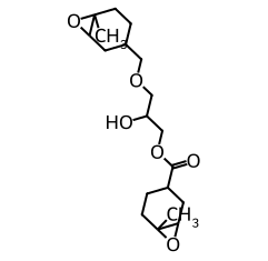 CC12CCC(COCC(O)COC(=O)C3CCC4(C)OC4C3)CC1O2